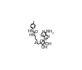 Cc1ccc(NC(=O)NCCCN(C)C[C@H]2O[C@@H](n3cnc4c(N)ncnc43)[C@H](O)[C@@H]2O)cc1